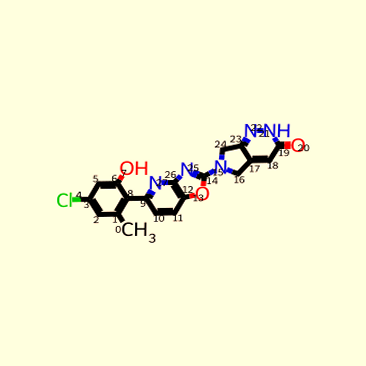 Cc1cc(Cl)cc(O)c1-c1ccc2oc(N3Cc4cc(=O)[nH]nc4C3)nc2n1